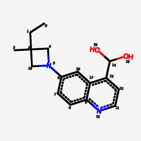 CCC1(C)CN(c2ccc3nccc(C(O)O)c3c2)C1